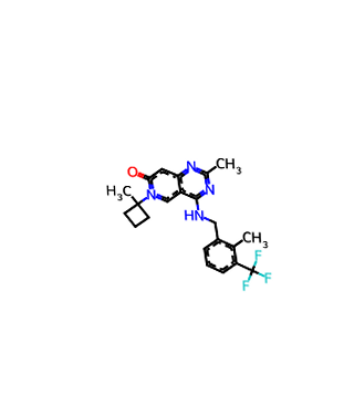 Cc1nc(NCc2cccc(C(F)(F)F)c2C)c2cn(C3(C)CCC3)c(=O)cc2n1